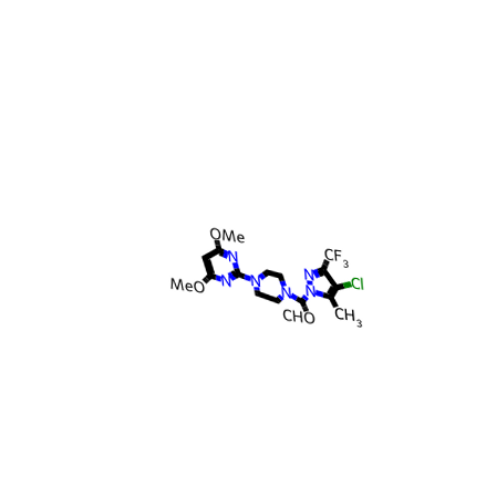 COc1cc(OC)nc(N2CCN(C(C=O)n3nc(C(F)(F)F)c(Cl)c3C)CC2)n1